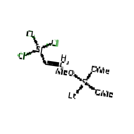 C=C[Si](Cl)(Cl)Cl.CC[Si](OC)(OC)OC